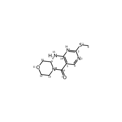 CSc1ncc(C(=O)N2CCOCC2)c(N)n1